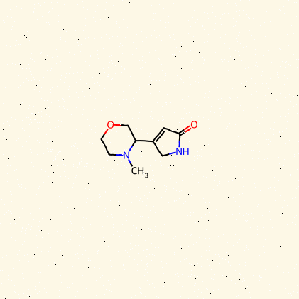 CN1CCOCC1C1=CC(=O)NC1